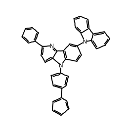 c1ccc(-c2ccc(-n3c4ccc(-n5c6ccccc6c6ccccc65)cc4c4nc(-c5ccccc5)ccc43)cc2)cc1